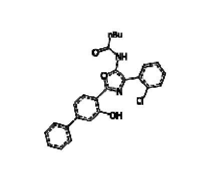 CCCCC(=O)Nc1oc(-c2ccc(-c3ccccc3)cc2O)nc1-c1ccccc1Cl